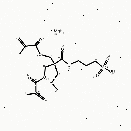 C=C(C)C(=O)OCC(CCC)(COC(=O)C(=C)C)C(=O)OCCCS(=O)(=O)O.[MgH2]